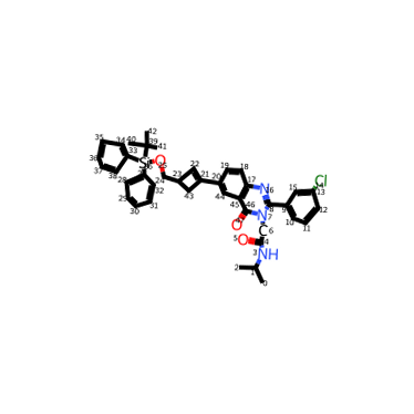 CC(C)NC(=O)Cn1c(-c2cccc(Cl)c2)nc2ccc(C3=CC(CO[Si](c4ccccc4)(c4ccccc4)C(C)(C)C)C3)cc2c1=O